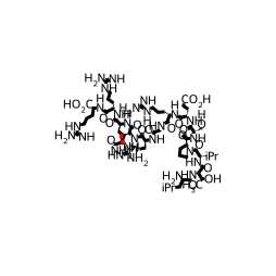 CC(C)C[C@H](NC(=O)CNC(=O)[C@H](CCCNC(=N)N)NC(=O)[C@H](CCC(=O)O)NC(=O)[C@H](CO)NC(=O)[C@@H]1CCCN1C(=O)[C@@H](NC(=O)[C@@H](NC(=O)[C@@H](N)CC(C)C)[C@@H](C)O)C(C)C)C(=O)N[C@@H](CCC(N)=O)C(=O)N[C@@H](CCCNC(=N)N)C(=O)N[C@@H](CCCNC(=N)N)C(=O)N[C@@H](CCCNC(=N)N)C(=O)O